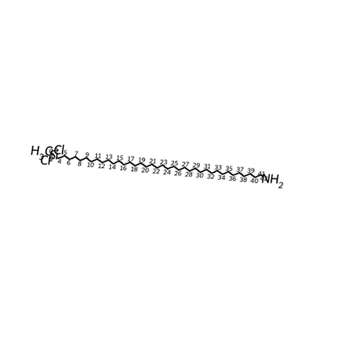 C[Si](Cl)(Cl)CCCCCCCCCCCCCCCCCCCCCCCCCCCCCCCCCCCCCCN